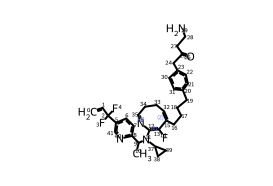 C=CC(F)(F)c1ccc(C(C)N(C2=C(F)/C(CCCCc3ccc(CC(=O)CCN)cc3)=C\CC/C=N\2)C2CC2)nc1